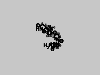 Cn1nc(C2CCC(=O)NC2=O)c2cccc(OC3CCN(C(=O)c4ccc(C(N)=O)[nH]4)CC3)c21